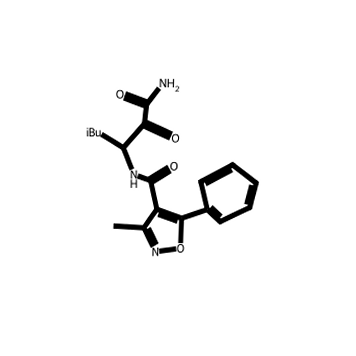 CCC(C)C(NC(=O)c1c(C)noc1-c1ccccc1)C(=O)C(N)=O